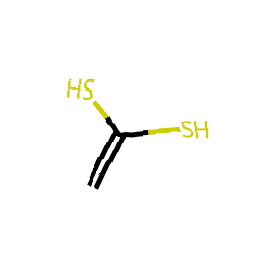 C=C(S)S